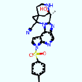 Cc1ccc(S(=O)(=O)n2ccc3c2ncc2nc([C@@H](C)O)n(C4(C#N)CC45CCNCC5)c23)cc1